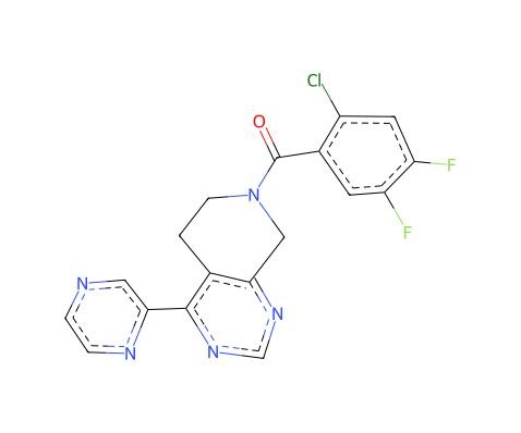 O=C(c1cc(F)c(F)cc1Cl)N1CCc2c(ncnc2-c2cnccn2)C1